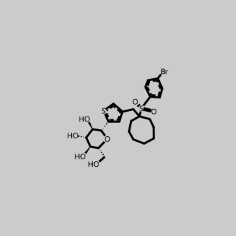 O=S(=O)(c1ccc(Br)cc1)C1(Cc2csc([C@@H]3O[C@H](CO)[C@@H](O)[C@H](O)[C@H]3O)c2)CCCCCCC1